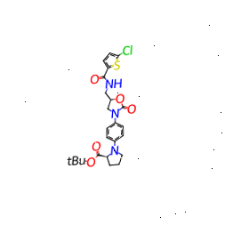 CC(C)(C)OC(=O)[C@@H]1CCCN1c1ccc(N2CC(CNC(=O)c3ccc(Cl)s3)OC2=O)cc1